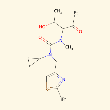 CCC(=O)C(C(C)O)N(C)C(=O)N(Cc1csc(C(C)C)n1)C1CC1